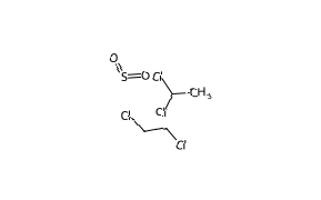 CC(Cl)Cl.ClCCCl.O=S=O